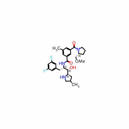 COC[C@H]1CCCN1C(=O)c1cc(C)cc(C(=O)N[C@@H](Cc2cc(F)cc(F)c2)[C@H](O)[C@H]2CC(C)CN2)c1